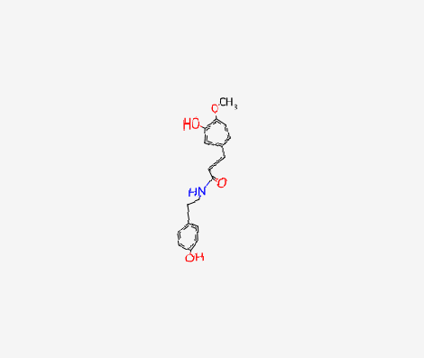 COc1ccc(/C=C/C(=O)NCCc2ccc(O)cc2)cc1O